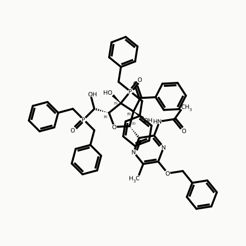 CC(=O)Nc1nc(OCc2ccccc2)c(C)nc1[C@@H]1O[C@H](C(O)P(=O)(Cc2ccccc2)Cc2ccccc2)[C@](O)(P(=O)(Cc2ccccc2)Cc2ccccc2)[C@]1(O)C(=O)c1ccccc1